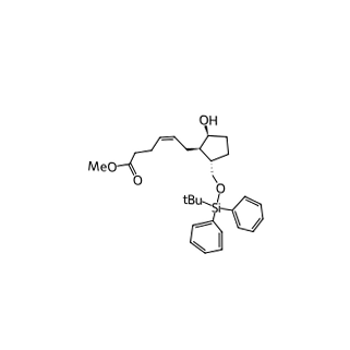 COC(=O)CC/C=C\C[C@@H]1[C@@H](CO[Si](c2ccccc2)(c2ccccc2)C(C)(C)C)CC[C@@H]1O